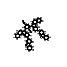 N#Cc1cc(-n2c3ccc(-c4ccc5c(c4)oc4ccccc45)cc3c3c4ccccc4ccc32)c(C#N)c(-n2c3ccc(-c4ccc5c(c4)oc4ccccc45)cc3c3c4ccccc4ccc32)c1